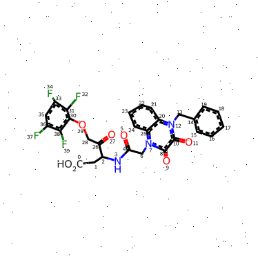 O=C(O)CC(NC(=O)Cn1c(=O)c(=O)n(Cc2ccccc2)c2ccccc21)C(=O)COc1c(F)c(F)cc(F)c1F